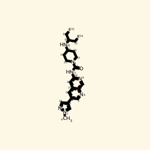 Cn1cc(-c2cnc3cnc(NC(=O)N4CCC(NC(CF)CF)CC4)cc3c2)cn1